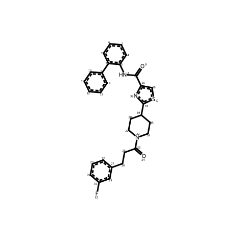 O=C(Nc1ccccc1-c1ccccc1)c1csc(C2CCN(C(=O)CCc3cccc(F)c3)CC2)n1